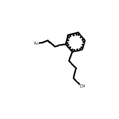 CC(=O)CCc1ccccc1CCCC#N